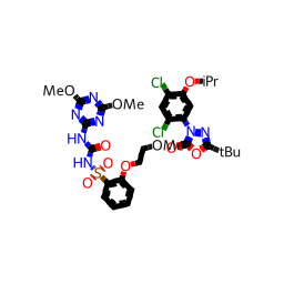 CC(C)Oc1cc(-n2nc(C(C)(C)C)oc2=O)c(Cl)cc1Cl.COCCOc1ccccc1S(=O)(=O)NC(=O)Nc1nc(OC)nc(OC)n1